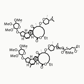 CC[C@H]1CCC[C@H](O[C@H]2CC[C@H](N(C)C)[C@@H](C)O2)[C@@H](C)C(=O)C2=C[C@@H]3[C@@H](C=C(C)[C@@H]4C[C@@H](O[C@@H]5O[C@@H](C)[C@H](OC)[C@@H](OC)[C@H]5OC)C[C@@H]34)[C@@H]2CC(=O)O1.CC[C@H]1CCC[C@H](O[C@H]2CC[C@H](N(C)C)[C@@H](C)O2)[C@@H](C)C(=O)C2=C[C@@H]3[C@@H](C=C[C@@H]4C[C@@H](O[C@@H]5O[C@@H](C)[C@H](OC)[C@@H](OC)[C@H]5OC)C[C@@H]34)[C@@H]2CC(=O)O1.CC[S+]([O-])CCSP(=O)(OC)OC